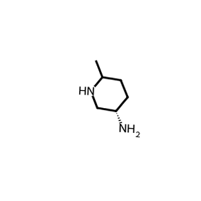 CC1CC[C@H](N)CN1